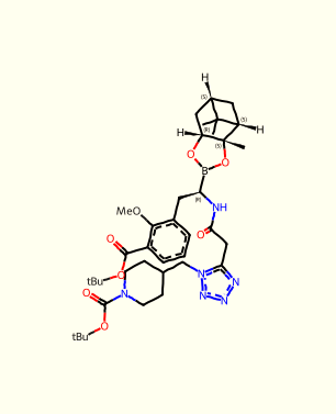 COc1c(C[C@H](NC(=O)Cc2nnnn2CC2CCN(C(=O)OC(C)(C)C)CC2)B2O[C@@H]3C[C@@H]4C[C@@H](C4(C)C)[C@]3(C)O2)cccc1C(=O)OC(C)(C)C